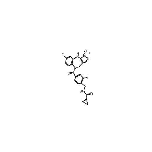 Cn1ncc2c1Nc1cc(F)ccc1N(C(=O)c1ccc(CNC(=O)C3CC3)c(F)c1)C2